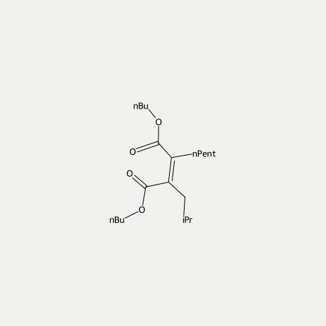 CCCCC/C(C(=O)OCCCC)=C(\CC(C)C)C(=O)OCCCC